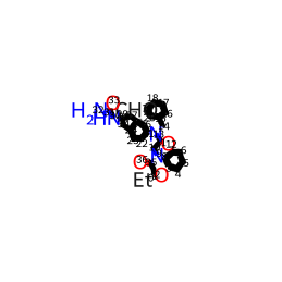 CCC1Oc2ccccc2N(CC(=O)N(Cc2ccccc2)c2ccc3c(c2)CC(C=O)(NC(N)=O)C3)C1=O